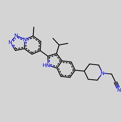 Cc1cc(-c2[nH]c3ccc(C4CCN(CC#N)CC4)cc3c2C(C)C)cc2cnnn12